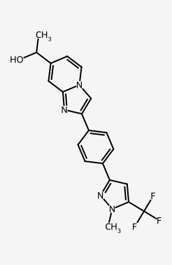 CC(O)c1ccn2cc(-c3ccc(-c4cc(C(F)(F)F)n(C)n4)cc3)nc2c1